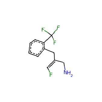 NCC(=CF)Cc1ccccc1C(F)(F)F